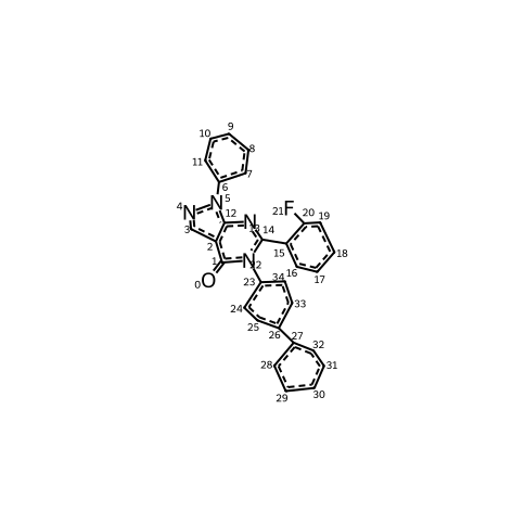 O=c1c2cnn(-c3ccccc3)c2nc(-c2ccccc2F)n1-c1ccc(-c2ccccc2)cc1